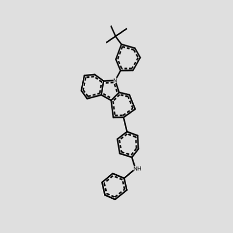 CC(C)(C)c1cccc(-n2c3ccccc3c3cc(-c4ccc(Nc5ccccc5)cc4)ccc32)c1